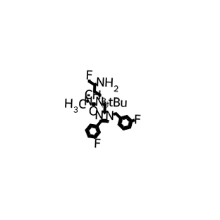 CN(C)C(=O)N(CCC(N)CF)[C@@H](c1nc(-c2cccc(F)c2)cn1Cc1cccc(F)c1)C(C)(C)C